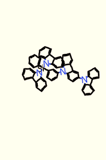 c1ccc([Si](c2cccc(-n3c4ccccc4c4cc(-n5c6ccccc6c6ccccc65)ccc43)c2)(n2c3ccccc3c3ccccc32)n2c3ccccc3c3ccccc32)cc1